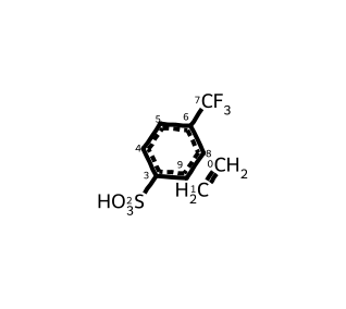 C=C.O=S(=O)(O)c1ccc(C(F)(F)F)cc1